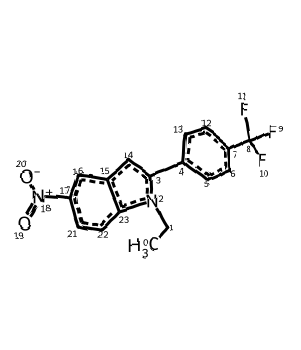 CCn1c(-c2ccc(C(F)(F)F)cc2)cc2cc([N+](=O)[O-])ccc21